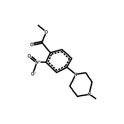 COC(=O)c1ccc(N2CCN(C)CC2)cc1[N+](=O)[O-]